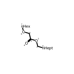 CCCCCCCCOC(=O)COCCCCCC